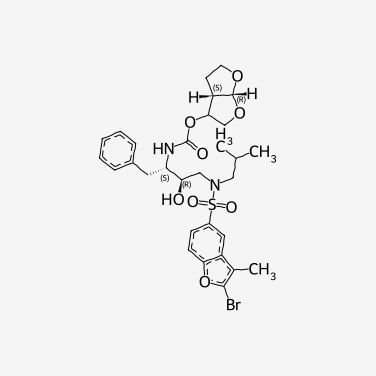 Cc1c(Br)oc2ccc(S(=O)(=O)N(CC(C)C)C[C@@H](O)[C@H](Cc3ccccc3)NC(=O)OC3CO[C@H]4OCC[C@@H]34)cc12